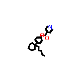 CCCCCC1(c2ccc(OC(=O)c3ccncc3)cc2)CCCCC1